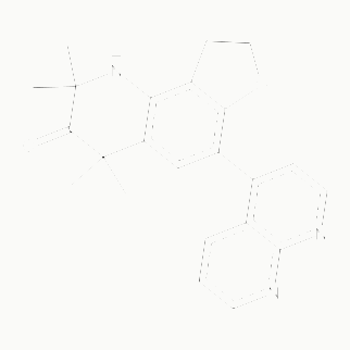 CC1(C)Nc2c(cc(-c3ccnc4ncccc34)c3c2CCO3)C(C)(C)C1=O